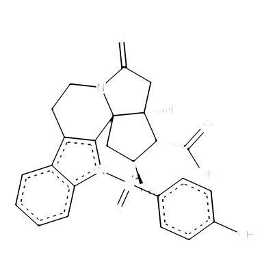 Cc1ccc(S(=O)(=O)n2c3c(c4ccccc42)CCN2C(=O)C[C@H]4[C@H](C(=O)O)[C@@H](C)CC342)cc1